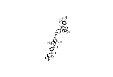 C[C@@H]1CN(CCO[C@H]2CC[C@H](N3C(=S)N(c4cnc(C#N)c(C(F)(F)F)c4)C(=O)C3(C)C)CC2)C[C@H](C)N1CC(=O)Nc1cccc(NC2CCC(=O)NC2=O)c1